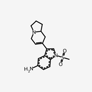 CS(=O)(=O)n1cc(C2=CCN3CCCC3C2)c2cc(N)ccc21